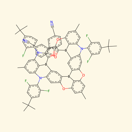 Cc1cc2c3c(c1)Oc1cc4c(cc1B3c1cc3c(cc1O2)N(c1c(F)cc(C(C)(C)C)cc1F)c1cc(C)cc2c1B3c1oc3ccc(C#N)cc3c1O2)B1c2oc3ccc(C#N)cc3c2N(c2ccc(C(C)(C)C)cc2F)c2cc(C)cc(c21)N4c1c(F)cc(C(C)(C)C)cc1F